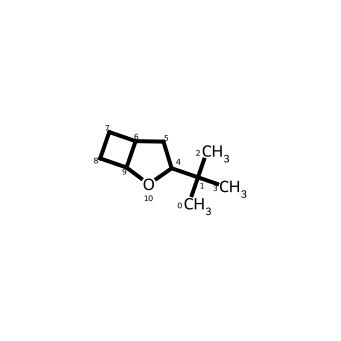 CC(C)(C)C1CC2CCC2O1